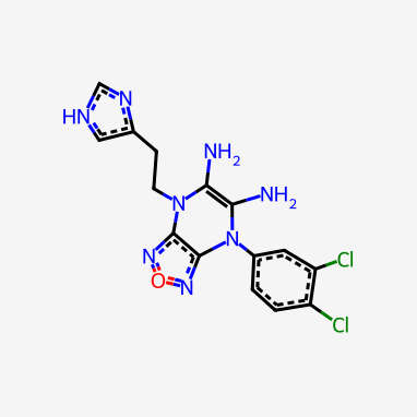 NC1=C(N)N(c2ccc(Cl)c(Cl)c2)c2nonc2N1CCc1c[nH]cn1